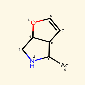 CC(=O)C1NCC2OC=CC21